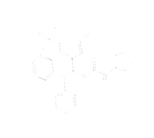 O=C(NC1CCCC1)NC(c1cc(F)cc(C(F)(F)F)c1)C(c1ccccc1)c1ccc(F)cc1